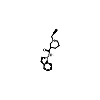 C#CCN1CCCC(C(=O)Nn2ccc3ccccc32)C1